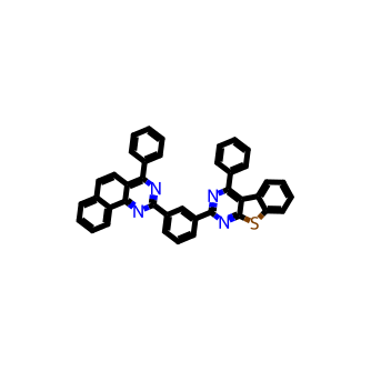 c1ccc(-c2nc(-c3cccc(-c4nc(-c5ccccc5)c5c(n4)sc4ccccc45)c3)nc3c2ccc2ccccc23)cc1